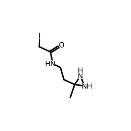 CC1(CCNC(=O)CI)NN1